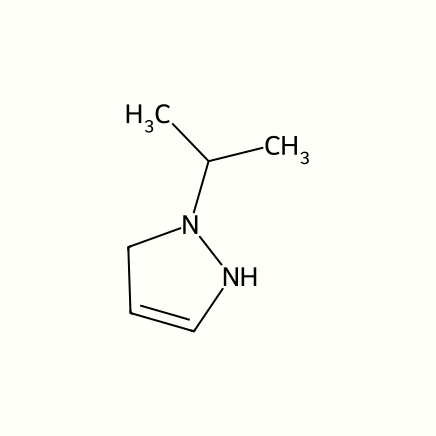 CC(C)N1CC=CN1